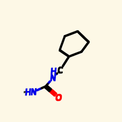 [NH]C(=O)NCC1CCCCC1